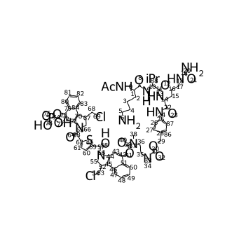 CC(=O)NC(CCCCN)C(=O)NC(C(=O)NC(CCCNC(N)=O)C(=O)Nc1ccc(COC(=O)N(C)CCN(C)C(=O)Oc2cc3c(c4ccccc24)C(CCl)CN3C(O)c2ccc(C(=O)N3CC(CCl)c4c3cc(OP(=O)(O)O)c3ccccc43)s2)cc1)C(C)C